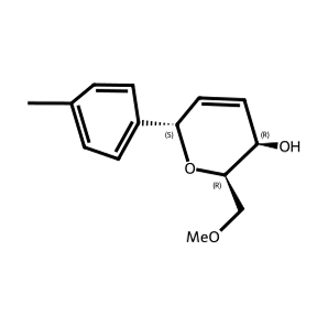 COC[C@H]1O[C@H](c2ccc(C)cc2)C=C[C@H]1O